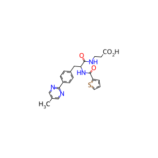 Cc1cnc(-c2ccc(CC(NC(=O)c3cccs3)C(=O)NCCC(=O)O)cc2)nc1